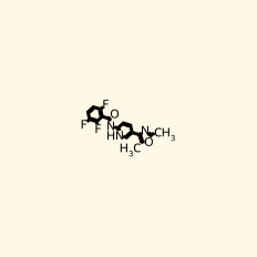 Cc1nc(-c2ccc(NC(=O)c3c(F)ccc(F)c3F)nc2)c(C)o1